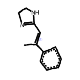 C/C(=C\C1=NCCN1)c1ccccc1